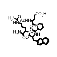 CC(=O)NC(CCC(=O)O)C(=O)N1CCCC[C@H]1C(=O)NC(Cc1ccc2ccccc2c1)C(=O)NC(CCCNC(N)=O)C(N)=O